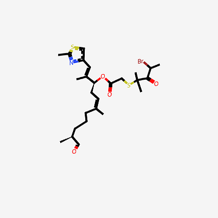 C/C(=C/C[C@H](OC(=O)CSC(C)(C)C(=O)C(C)Br)/C(C)=C/c1csc(C)n1)CCC[C@H](C)C=O